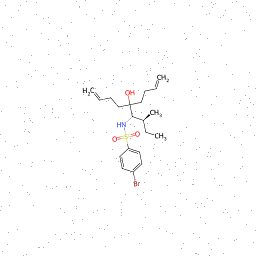 C=CCCC(O)(CCC=C)[C@@H](NS(=O)(=O)c1ccc(Br)cc1)[C@@H](C)CC